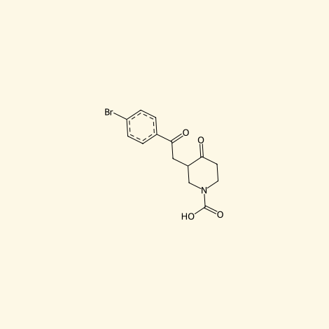 O=C(CC1CN(C(=O)O)CCC1=O)c1ccc(Br)cc1